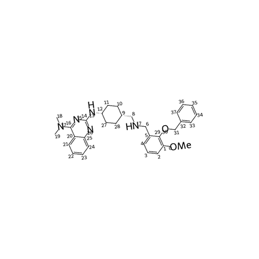 COc1cccc(CNC[C@H]2CC[C@@H](Nc3nc(N(C)C)c4ccccc4n3)CC2)c1OCc1ccccc1